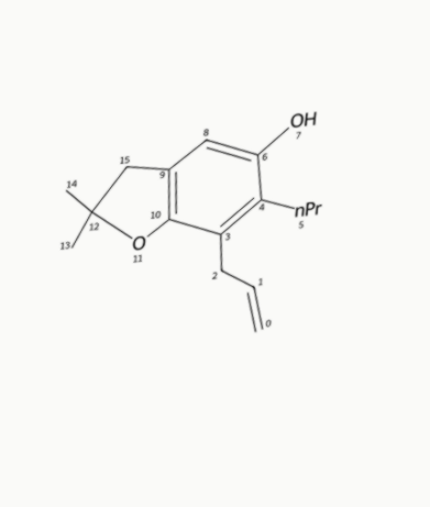 C=CCc1c(CCC)c(O)cc2c1OC(C)(C)C2